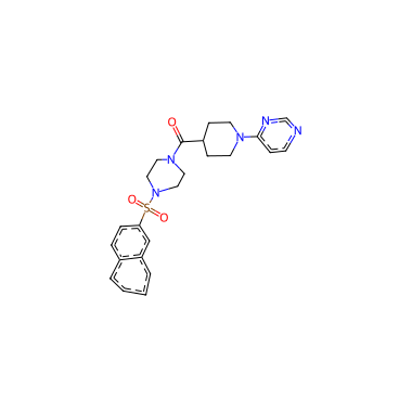 O=C(C1CCN(c2ccncn2)CC1)N1CCN(S(=O)(=O)c2ccc3ccccc3c2)CC1